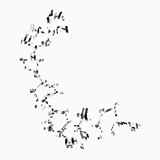 CC(C)(C)OC(=O)N1CCC(c2ccc(-c3cnc(N)c(C(=O)N[C@H]4CC[C@H](O)CC4)c3)cc2)C1